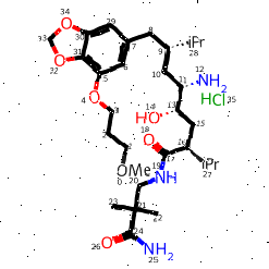 COCCCOc1cc(C[C@@H](C[C@H](N)[C@@H](O)C[C@H](C(=O)NCC(C)(C)C(N)=O)C(C)C)C(C)C)cc2c1OCO2.Cl